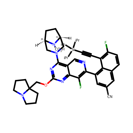 CC(C)[Si](C#Cc1c(F)ccc2cc(C#N)cc(-c3ncc4c(N5C[C@H]6CC[C@@H](C5)N6C(=O)O)nc(OCC56CCCN5CCC6)nc4c3F)c12)(C(C)C)C(C)C